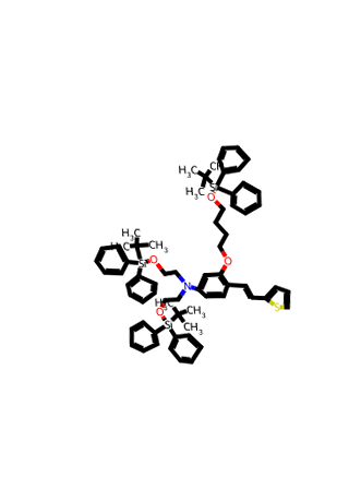 CC(C)(C)[Si](OCCCCOc1cc(N(CCO[Si](c2ccccc2)(c2ccccc2)C(C)(C)C)CCO[Si](c2ccccc2)(c2ccccc2)C(C)(C)C)ccc1/C=C/c1cccs1)(c1ccccc1)c1ccccc1